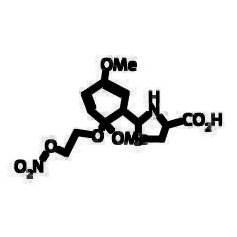 COC1=CC(C2NC(C(=O)O)CS2)C(OC)(OCCO[N+](=O)[O-])C=C1